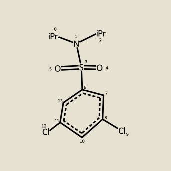 CC(C)N(C(C)C)S(=O)(=O)c1cc(Cl)cc(Cl)c1